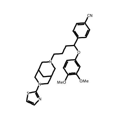 COc1ccc(OC(CCCN2CC3CC(C2)CN(c2nccs2)C3)c2ccc(C#N)cc2)cc1OC